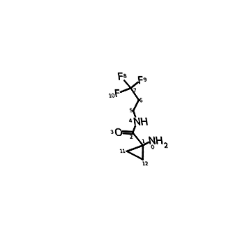 NC1(C(=O)NCCC(F)(F)F)CC1